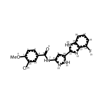 COc1ccc(C(=O)Nc2cc(-c3nc4c(F)cccc4[nH]3)[nH]n2)cc1Cl